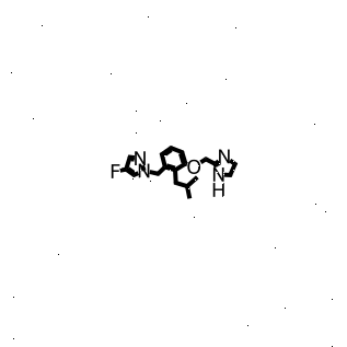 CC(C)Cc1c(Cn2cc(F)cn2)cccc1OCC1=NCCN1